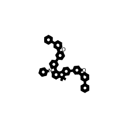 CC1(C)c2cc(-c3ccc4oc5ccc(-c6ccccc6)cc5c4c3)ccc2-c2c1ccc1c2c2cc(-c3ccc4oc5ccc(-c6ccccc6)cc5c4c3)ccc2n1-c1ccccc1